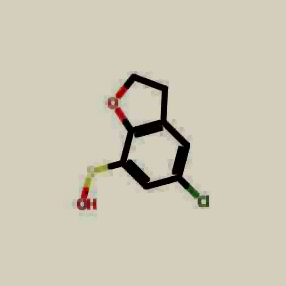 OSc1cc(Cl)cc2c1OCC2